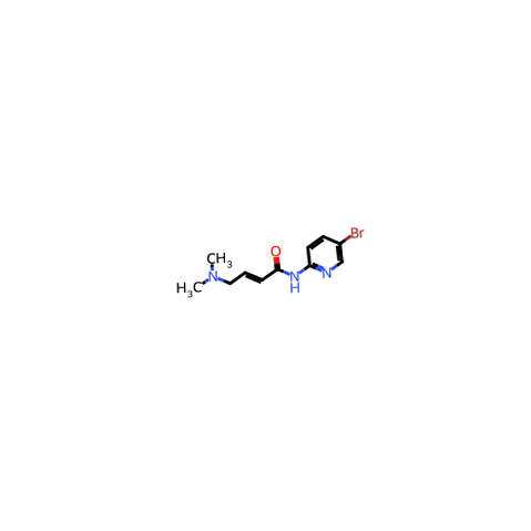 CN(C)C/C=C/C(=O)Nc1ccc(Br)cn1